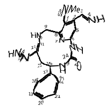 CNc1c(C=N)cc2nc1CN/C=C(\N=N)C[C@H](c1ccccc1)NC(=O)N2